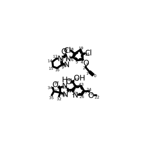 C#CCOc1cc(-n2nc3n(c2=O)CCCC3)c(Cl)cc1Cl.COCc1cnc(C2=NC(C)(C(C)C)C(=O)N2)c(C(=O)O)c1